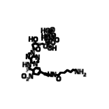 C[C@H](Nc1ncnc2c1ncn2[C@H]1C[C@@H](O)[C@@H](COP(=O)(O)OP(=O)(O)OP(=O)(O)O)O1)c1ccc(C#CCNC(=O)CCCCCN)cc1[N+](=O)[O-]